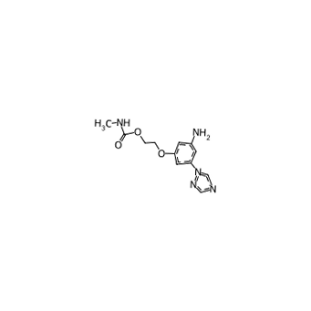 CNC(=O)OCCOc1cc(N)cc(-n2cncn2)c1